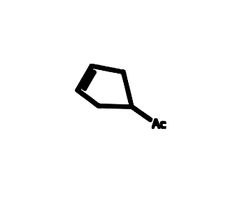 CC(=O)C1CC=CC1